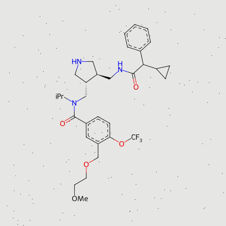 COCCOCc1cc(C(=O)N(C[C@@H]2CNC[C@H]2CNC(=O)C(c2ccccc2)C2CC2)C(C)C)ccc1OC(F)(F)F